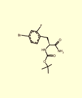 CC(C)(C)OC(=O)N[C@@H](Cc1ccc(Br)cc1F)C(N)=O